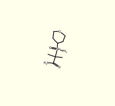 CC(C)(C(N)=O)[SH](=O)(P)C1CCOCC1